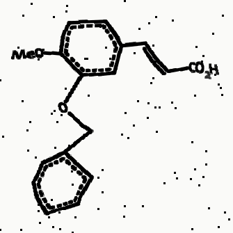 COc1ccc(/C=C/C(=O)O)cc1OCc1ccccc1